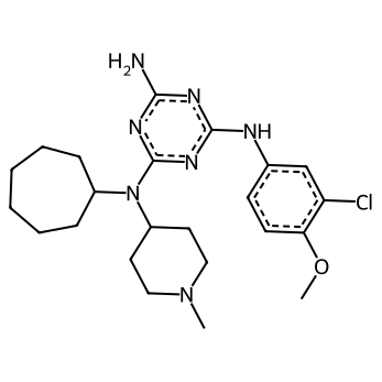 COc1ccc(Nc2nc(N)nc(N(C3CCCCCC3)C3CCN(C)CC3)n2)cc1Cl